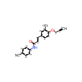 C#CCOc1ccc(/C=C/C(=O)Nc2ccc(C#N)cc2)cc1CC